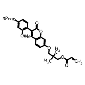 C=CC(=O)OCC(C)(C)COc1ccc2cc(-c3ccc(CCCCC)cc3OC)c(=O)oc2c1